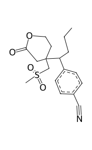 CCCC(c1ccc(C#N)cc1)C1(CS(C)(=O)=O)CCOC(=O)C1